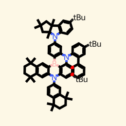 CC1(C)CC2(C)c3cc(C(C)(C)C)ccc3N(c3ccc4c(c3)N(c3ccc(C(C)(C)C)cc3-c3ccccc3)c3cc(C(C)(C)C)cc5c3B4c3cc4c(cc3N5c3ccc5c(c3)C(C)(C)CCC5(C)C)C(C)(C)CCC4(C)C)C2(C)C1